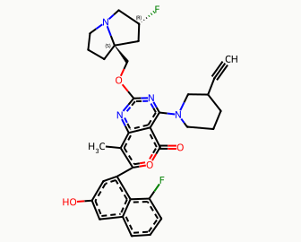 C#CC1CCCN(c2nc(OC[C@@]34CCCN3C[C@H](F)C4)nc3c(C)c(-c4cc(O)cc5cccc(F)c45)oc(=O)c23)C1